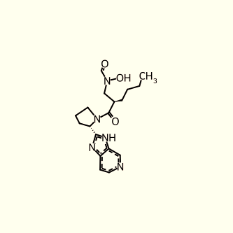 CCCC[C@H](CN(O)C=O)C(=O)N1CCC[C@H]1c1nc2ccncc2[nH]1